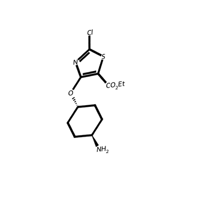 CCOC(=O)c1sc(Cl)nc1O[C@H]1CC[C@H](N)CC1